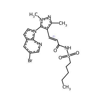 CCCCCS(=O)(=O)NC(=O)/C=C/c1c(C)nn(C)c1-n1ccc2cc(Br)cnc21